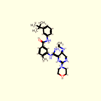 C=C/N=C1/C=NC(N2CCOCC2)=N/C1=C(/N)Nc1cc(C(=O)Nc2cccc(C(C)(C)C)c2)ccc1C